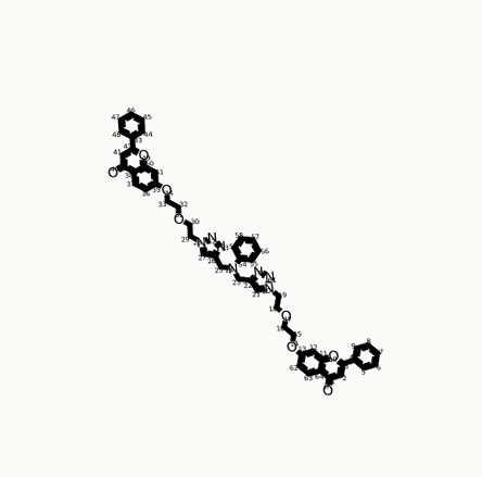 O=c1cc(-c2ccccc2)oc2cc(OCCOCCn3cc(CN(Cc4cn(CCOCCOc5ccc6c(=O)cc(-c7ccccc7)oc6c5)nn4)c4ccccc4)nn3)ccc12